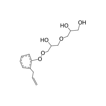 C=CCc1ccccc1OOCC(O)COCC(O)CO